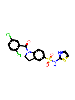 O=C(c1cc(Cl)ccc1Cl)N1CCc2cc(S(=O)(=O)Nc3nccs3)ccc21